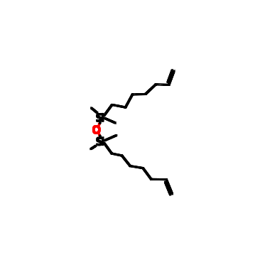 C=CCCCCC[Si](C)(C)O[Si](C)(C)CCCCCC=C